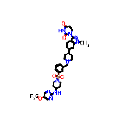 Cn1nc(N2CCC(=O)NC2=O)c2ccc(C3CCN(Cc4cccc(S(=O)(=O)N5CCC(Nc6ncc(OC(F)(F)F)cn6)CC5)c4)CC3)cc21